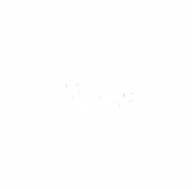 O=C1[C@@H]2C3=CC(CC3)[C@@H]2C(=O)N1C[C@@H]1CCCC[C@H]1CN1CCN(c2nsc3ccccc23)CC1